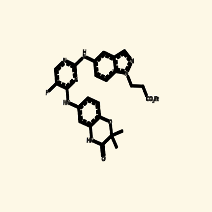 CCOC(=O)CCn1ncc2cc(Nc3ncc(F)c(Nc4ccc5c(c4)NC(=O)C(C)(C)O5)n3)ccc21